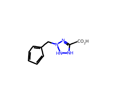 O=C(O)C1=NN(Cc2ccccc2)NN1